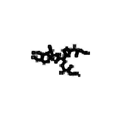 BOC(=O)[C@H](CC)O/N=C(\C(=O)N[C@@H]1C(=O)N2C(C=O)=C(CCl)CS[C@H]12)c1csc(NC(=O)OC(C)(C)C)n1